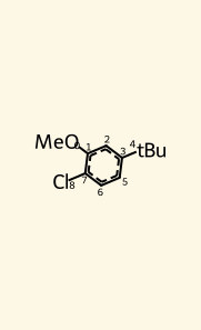 COc1cc(C(C)(C)C)ccc1Cl